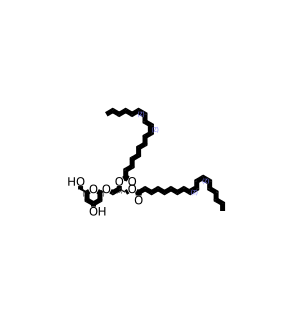 CCCCC/C=C\C/C=C\CCCCCCCC(=O)OC[C@H](CO[C@H]1CC(O)C[C@@H](CO)O1)OC(=O)CCCCCCC/C=C\C/C=C\CCCCC